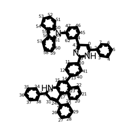 C1=C(c2ccccc2)NC(c2ccc(-c3cc4c(c5ccccc35)C(c3ccccc3)=CC(c3ccccc3)N4)cc2)N=C1c1cccc(-n2c3ccccc3c3ccccc32)c1